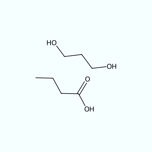 CCCC(=O)O.OCCCO